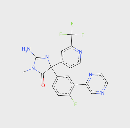 CN1C(=O)C(c2ccnc(C(F)(F)F)c2)(c2ccc(F)c(-c3cnccn3)c2)N=C1N